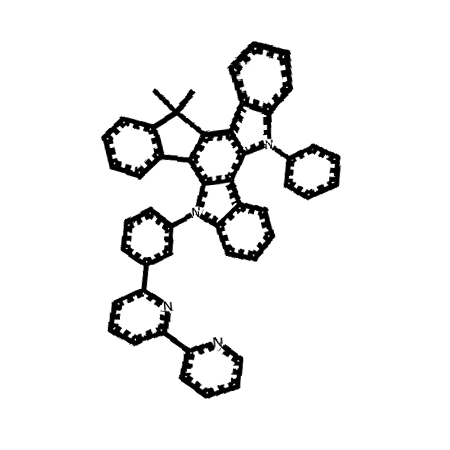 CC1(C)c2ccccc2-c2c1c1c3ccccc3n(-c3ccccc3)c1c1c3ccccc3n(-c3cccc(-c4cccc(-c5ccccn5)n4)c3)c21